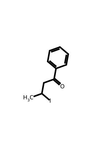 CC(I)CC(=O)c1ccccc1